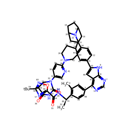 Cc1cc(-c2ncnc3[nH]c(-c4ccc(C5CC6CCC(C5)N6CC5CCN(c6ccc(N7CCC(=O)NC7=O)cn6)CC5)cc4)cc23)ccc1[C@@H](C)NC(=O)c1nc(C(C)(C)C)no1